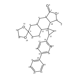 CC1OC(=O)C2CC3CC4(CCC3C3(CC3c3ccc(-c5ccccc5)cn3)C12)OCCO4